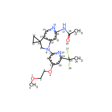 COCCOc1cc(N2CC3(CC3)c3cnc(NC(C)=O)cc32)nc(C(C)(F)F)c1